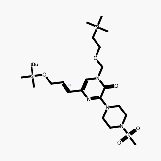 CC(C)(C)[Si](C)(C)OC/C=C/c1cn(COCC[Si](C)(C)C)c(=O)c(N2CCN(S(C)(=O)=O)CC2)n1